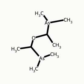 CC(OC(C)[As](C)C)[As](C)C